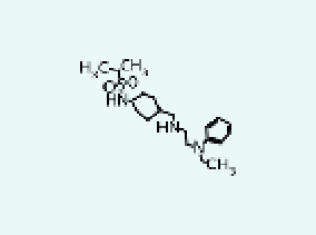 CCN(CCNCC1CCC(NS(=O)(=O)C(C)C)CC1)c1ccccc1